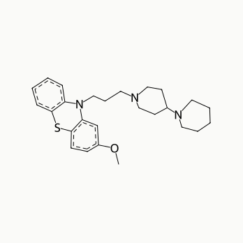 COc1ccc2c(c1)N(CCCN1CCC(N3CCCCC3)CC1)c1ccccc1S2